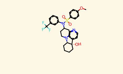 COc1ccc(S(=O)(=O)N(c2cccc(C(F)(F)F)c2)C2CCN([C@@H]3CCCC[C@]3(O)c3ccncc3)CC2)cc1